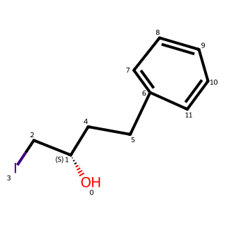 O[C@H](CI)CCc1ccccc1